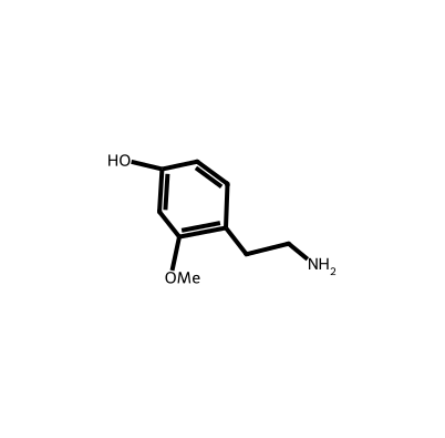 COc1cc(O)ccc1CCN